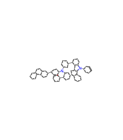 c1ccc(-n2c3cccc(-c4cccc(N(c5ccc(-c6ccc7c(ccc8ccccc87)c6)cc5)c5ccccc5-c5ccccc5)c4)c3c3ccc4ccccc4c32)cc#1